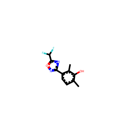 Cc1ccc(-c2noc(C(F)F)n2)c(C)c1O